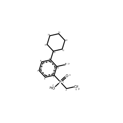 O=P(O)(CC(F)(F)F)c1cccc(C2CCCCC2)c1F